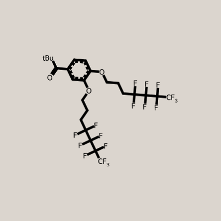 CC(C)(C)C(=O)c1ccc(OCCCC(F)(F)C(F)(F)C(F)(F)C(F)(F)F)c(OCCCC(F)(F)C(F)(F)C(F)(F)C(F)(F)F)c1